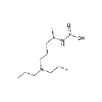 CCCN(CCC)CCCC(C)NC(=O)O